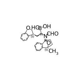 C[C@@]12CC[C@@](N(C=O)[C@@H](C[C@@H]3COc4ccccc43)B(O)O)(O1)c1ccccc12